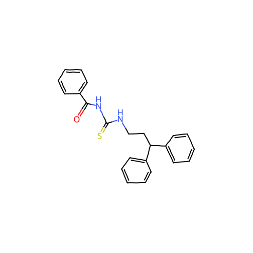 O=C(NC(=S)NCCC(c1ccccc1)c1ccccc1)c1ccccc1